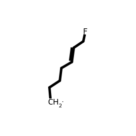 [CH2]CCCC=CCF